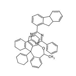 CC1Oc2ccccc2C(C2=CCCCC2)(C2=C(c3nc(-c4ccccc4)nc(-c4cccc5c4CC4C=CC=CC54)n3)C=CCC2)c2ccccc21